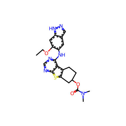 CCOc1cc2[nH]ncc2cc1Nc1ncnc2sc3c(c12)CCC(OC(=O)N(C)C)C3